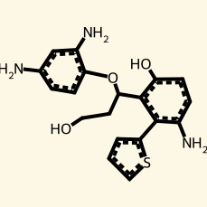 Nc1ccc(OC(CCO)c2c(O)ccc(N)c2-c2cccs2)c(N)c1